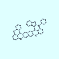 c1ccc(N2c3cccc4c3B(c3cc5cc6c(cc5cc3O4)Oc3cccc4c3B6c3ccccc3O4)c3c2sc2ccccc32)cc1